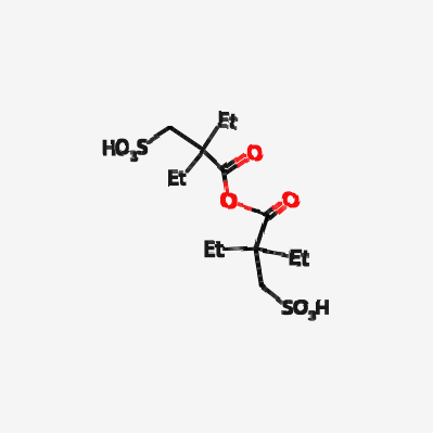 CCC(CC)(CS(=O)(=O)O)C(=O)OC(=O)C(CC)(CC)CS(=O)(=O)O